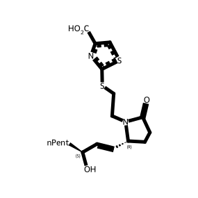 CCCCC[C@H](O)C=C[C@H]1CCC(=O)N1CCSc1nc(C(=O)O)cs1